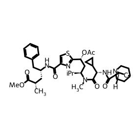 COC(=O)[C@@H](C)C[C@H](Cc1ccccc1)NC(=O)c1csc([C@@H](C[C@H](C(C)C)N(C)C(=O)[C@@H](NC(=O)[C@H]2CC3CCN2CC3)C2CC2)OC(C)=O)n1